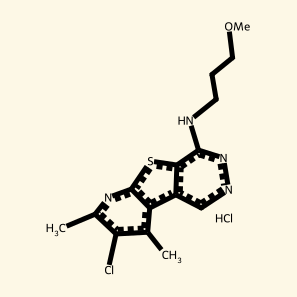 COCCCNc1nncc2c1sc1nc(C)c(Cl)c(C)c12.Cl